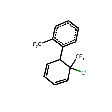 FC(F)(F)c1ccccc1C1C=CC=CC1(Cl)C(F)(F)F